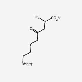 CCCCCCCCCCCC(=O)CC(S)C(=O)O